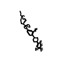 CCCC1CCC(C(=O)Oc2ccc(C3CCC(/C(F)=C/C(F)(F)F)CC3)c(F)c2)CC1